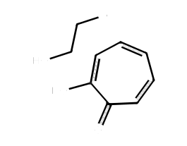 O=c1cccccc1O.OCCO